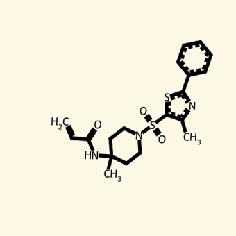 C=CC(=O)NC1(C)CCN(S(=O)(=O)c2sc(-c3ccccc3)nc2C)CC1